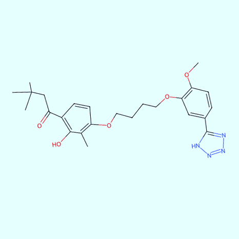 COc1ccc(-c2nnn[nH]2)cc1OCCCCOc1ccc(C(=O)CC(C)(C)C)c(O)c1C